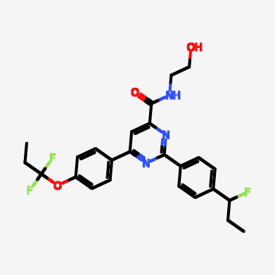 CCC(F)c1ccc(-c2nc(C(=O)NCCO)cc(-c3ccc(OC(F)(F)CC)cc3)n2)cc1